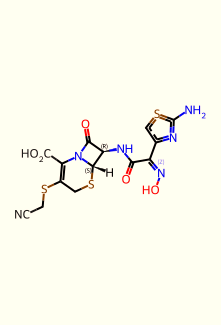 N#CCSC1=C(C(=O)O)N2C(=O)[C@@H](NC(=O)/C(=N\O)c3csc(N)n3)[C@@H]2SC1